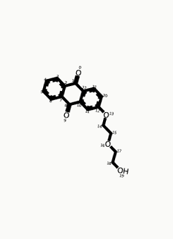 O=C1c2ccccc2C(=O)c2cc(OCCOCCO)ccc21